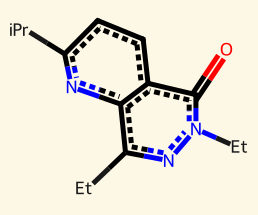 CCc1nn(CC)c(=O)c2ccc(C(C)C)nc12